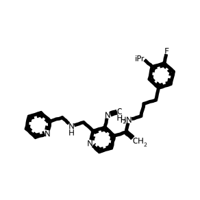 C=Nc1c(C(=C)NCCCc2ccc(F)c(C(C)C)c2)ccnc1CNCc1ccccn1